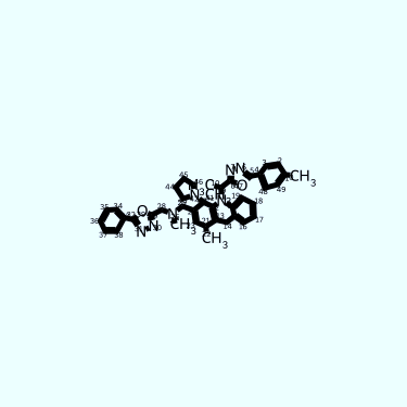 Cc1ccc(-c2nnc(C(C)N3C4=C(Cc5ccccc53)C(C)C=C(CN(C)Cc3nnc(-c5ccccc5)o3)C4(C)N3CCCC3)o2)cc1